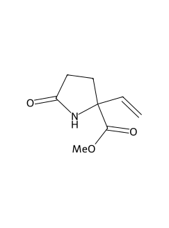 C=CC1(C(=O)OC)CCC(=O)N1